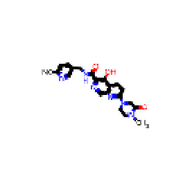 CN1CCN(c2ccc3c(O)c(C(=O)NCc4ccc(C#N)nc4)ncc3n2)CC1=O